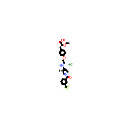 CCO[C@@H](Cc1ccc(OCCN[C@H]2C3CN(C(=O)c4cccc(C(F)(F)F)c4)C[C@@H]32)cc1)C(=O)O.Cl